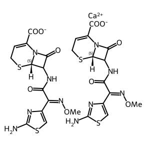 CON=C(C(=O)NC1C(=O)N2C(C(=O)[O-])=CCS[C@@H]12)c1csc(N)n1.CON=C(C(=O)NC1C(=O)N2C(C(=O)[O-])=CCS[C@@H]12)c1csc(N)n1.[Ca+2]